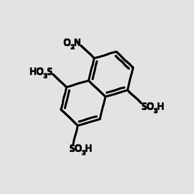 O=[N+]([O-])c1ccc(S(=O)(=O)O)c2cc(S(=O)(=O)O)cc(S(=O)(=O)O)c12